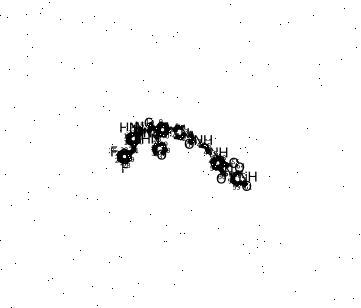 O=C(CN1CCN(c2ccc(C(=O)Nc3n[nH]c4ccc(Cc5cc(F)cc(F)c5)cc34)c(NC3CCOCC3)c2)CC1)NCCCNc1ccc2c(c1)C(=O)N(C1CCC(=O)NC1=O)C2=O